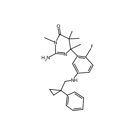 CN1C(=O)C(C)(C)C(C)(c2cc(NCC3(c4ccccc4)CC3)ccc2F)N=C1N